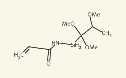 C=CC(=O)N[SiH2]C(OC)(OC)C(C)OC